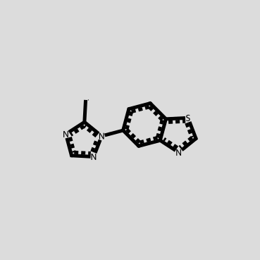 [CH2]c1ncnn1-c1ccc2scnc2c1